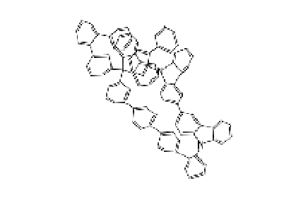 c1ccc(-c2ccccc2-c2cccc(C3(c4cccc(-c5ccc(-c6ccc(-c7ccccc7-n7c8ccccc8c8cc(-c9ccc%10c(c9)c9ccccc9n%10-c9ccccc9-c9ccccc9)ccc87)cc6)cc5)c4)c4ccccc4-c4ccccc43)c2)cc1